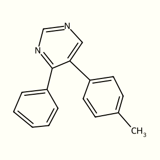 Cc1ccc(-c2cncnc2-c2ccccc2)cc1